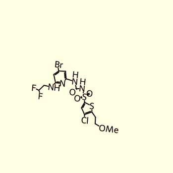 COCCc1sc(S(=O)(=O)NC(=O)Nc2cc(Br)cc(NCC(F)F)n2)cc1Cl